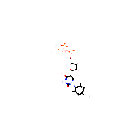 Cc1cc(C)c(-n2cc([C@@H]3O[C@H](COP(=O)(O)OP(=O)(O)OP(=O)(O)O)[C@@H](O)[C@H]3O)c(=O)[nH]c2=O)c(C)c1